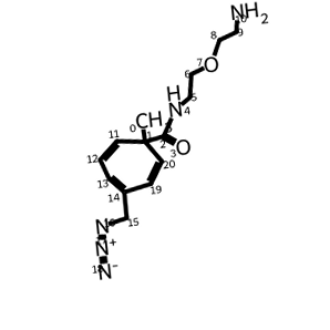 CC1(C(=O)NCCOCCN)C=CC=C(CN=[N+]=[N-])C=C1